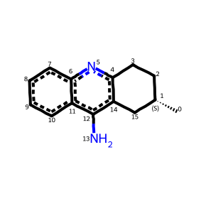 C[C@H]1CCc2nc3ccccc3c(N)c2C1